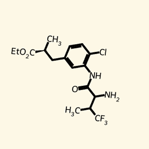 CCOC(=O)[C@@H](C)Cc1ccc(Cl)c(NC(=O)C(N)C(C)C(F)(F)F)c1